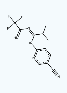 CC(C)/C(=N/C(=N)C(F)(F)F)Nc1ccc(C#N)cn1